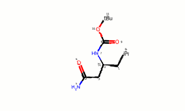 CC(C)C[C@@H](CC(N)=O)NC(=O)OC(C)(C)C